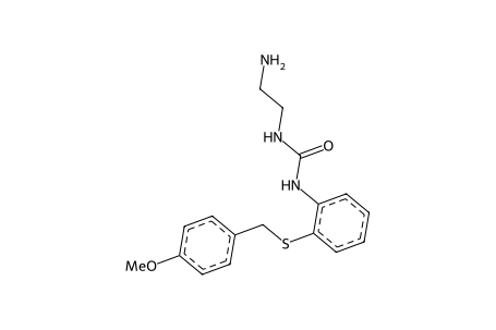 COc1ccc(CSc2ccccc2NC(=O)NCCN)cc1